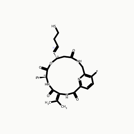 CC(C)=C1NC(=O)c2ccc(F)c(n2)CNC(=O)C[C@@H](/C=C/CCS)OC(=O)[C@H](C(C)C)NC1=O